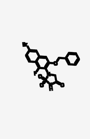 O=C1CN(c2c(OCc3ccccc3)cc3cc(Br)ccc3c2F)S(=O)(=O)N1